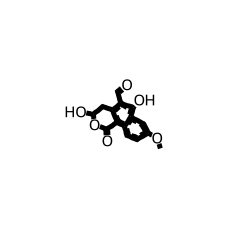 COc1ccc2c3c(c(C=O)c(O)c2c1)CC(O)OC3=O